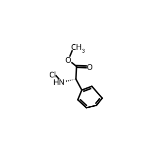 COC(=O)[C@@H](NCl)c1ccccc1